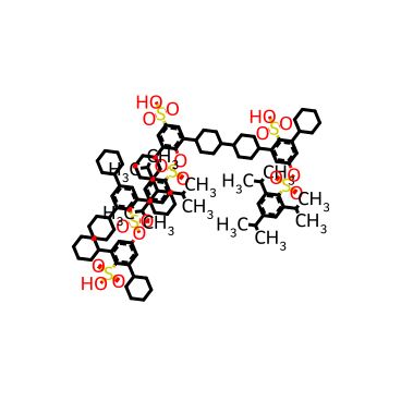 CC(C)c1cc(C(C)C)c(S(=O)(=O)Oc2cc(C3CCCCC3)c(S(=O)(=O)O)c(C3CCC(C4CCC(c5cc(S(=O)(=O)O)cc(C6CCCC(C7CCCCC7c7cc(C8CCCCC8)cc(C8CCCCC8)c7S(=O)(=O)Oc7cc(C8CCCCC8)c(S(=O)(=O)O)c(C8CCCCC8)c7)C6)c5OS(=O)(=O)c5c(C(C)C)cc(C(C)C)cc5C(C)C)CC4)CC3)c2)c(C(C)C)c1